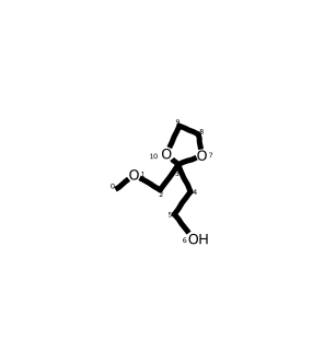 COCC1(CCO)OCCO1